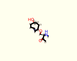 CN[C@H](CO[C@@H]1/C=C/CC[C@@H](O)CC1)C(C)=O